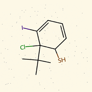 CC(C)(C)C1(Cl)C(I)=CC=CC1S